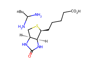 CCCCC(N)N.O=C(O)CCCC[C@@H]1SC[C@@H]2NC(=O)N[C@@H]21